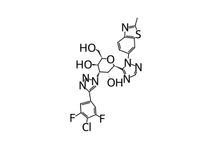 Cc1nc2ccc(-n3ncnc3[C@@H]3O[C@H](CO)[C@H](O)[C@H](n4cc(-c5cc(F)c(Cl)c(F)c5)nn4)[C@H]3O)cc2s1